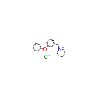 C(c1cccc(Oc2ccccc2)c1)=[N+]1CCCCC1.[Cl-]